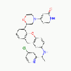 CC(Nc1ccc2c(c1)Cc1cccc(C3CN(c4cc[nH]c(=O)c4)CCO3)c1O2)c1cc(Cl)ccn1